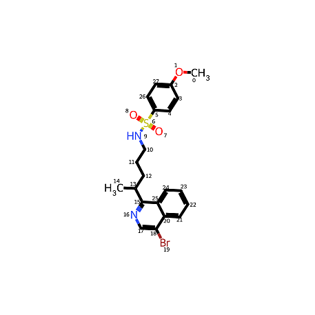 COc1ccc(S(=O)(=O)NCCCC(C)c2ncc(Br)c3ccccc23)cc1